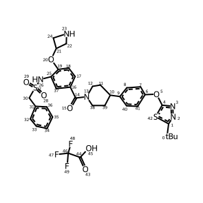 CC(C)(C)c1nnc(Oc2ccc(C3CCN(C(=O)c4ccc(OC5CNC5)c(NS(=O)(=O)Cc5ccccc5)c4)CC3)cc2)s1.O=C(O)C(F)(F)F